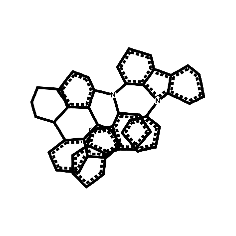 c1ccc(-n2c3ccccc3c3cccc(N(c4ccccc4-c4cccc5cccc(C6CCCCC6)c45)c4cccc5c4oc4ccccc45)c32)cc1